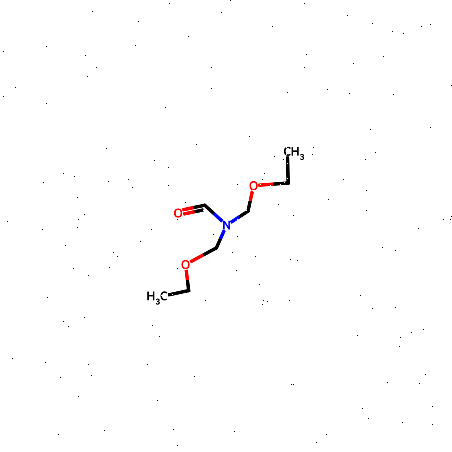 CCOCN(C=O)COCC